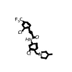 CC1CCN(Cc2ccc(NC(=O)C#Cc3ccc(C(F)(F)F)cc3Cl)cc2Cl)CC1